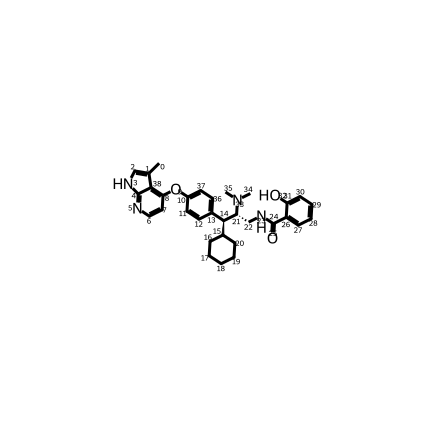 Cc1c[nH]c2nccc(Oc3ccc([C@H](C4CCCCC4)[C@@H](CNC(=O)c4ccccc4O)N(C)C)cc3)c12